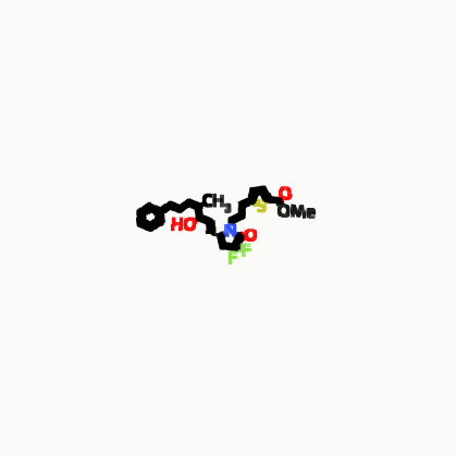 COC(=O)c1ccc(CCCN2C(=O)C(F)(F)C[C@@H]2C=C[C@@H](O)[C@@H](C)CCCc2ccccc2)s1